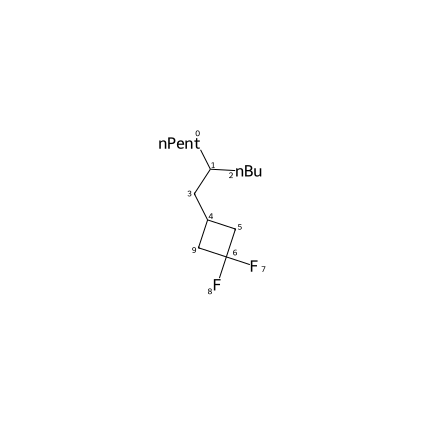 CCCCCC(CCCC)CC1CC(F)(F)C1